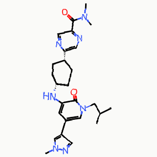 CC(C)Cn1cc(-c2cnn(C)c2)cc(N[C@H]2CC[C@@H](c3cnc(C(=O)N(C)C)cn3)CC2)c1=O